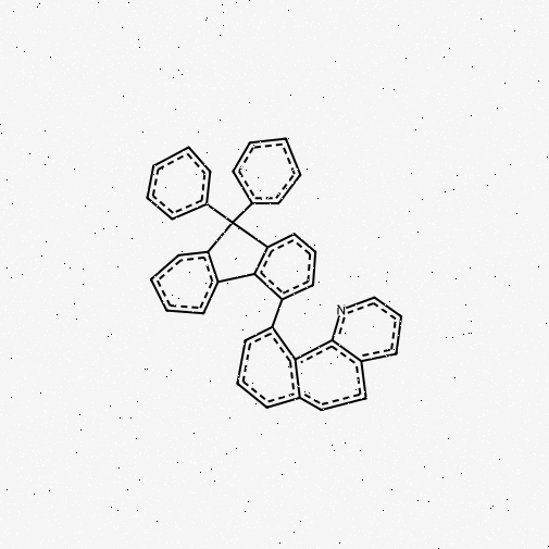 c1ccc(C2(c3ccccc3)c3ccccc3-c3c(-c4cccc5ccc6cccnc6c45)cccc32)cc1